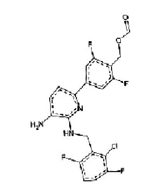 Nc1ccc(-c2cc(F)c(COC=O)c(F)c2)nc1NCc1c(F)ccc(F)c1Cl